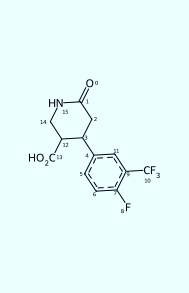 O=C1CC(c2ccc(F)c(C(F)(F)F)c2)C(C(=O)O)CN1